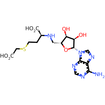 Nc1ncnc2c1ncn2[C@@H]1O[C@H](CN[C@@H](CCSCC(=O)O)C(=O)O)[C@@H](O)[C@H]1O